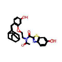 CC(=O)N(CCOc1cc(O)ccc1C=C1C2CC3CC(C2)CC1C3)C(=O)c1nc2ccc(O)cc2s1